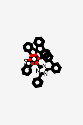 c1ccc(-c2nc(-c3ccccc3-c3cccc(-c4cccc5c4C4(c6ccccc6-c6ccccc64)c4ccccc4-5)c3)nc(-c3cccc4sc5ccccc5c34)n2)cc1